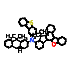 CC1(C)C2=CC(N(c3ccc4sc5ccccc5c4c3)c3cccc4c3C(C)(C)c3c-4c4oc5ccccc5c4c4ccccc34)=CC3=C(c4ccccc41)[C@H]23